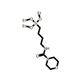 CCO[Si](CCCCNC(=O)N1CCOCC1)(OCC)OCC